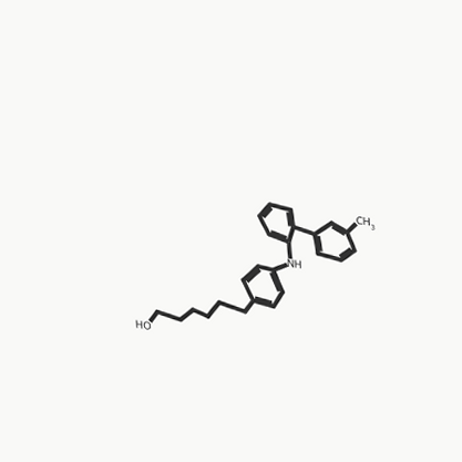 Cc1cccc(-c2ccccc2Nc2ccc(CCCCCCO)cc2)c1